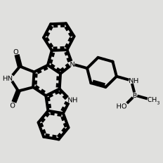 CB(O)NC1C=CC(n2c3ccccc3c3c4c(c5c6ccccc6[nH]c5c32)C(=O)NC4=O)CC1